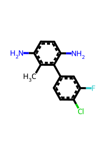 Cc1c(N)ccc(N)c1-c1ccc(Cl)c(F)c1